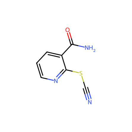 N#CSc1ncccc1C(N)=O